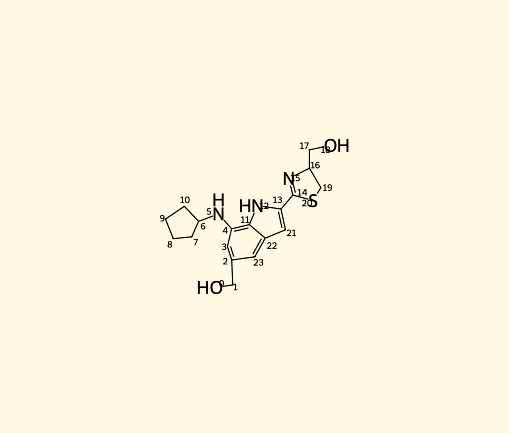 OCc1cc(NC2CCCC2)c2[nH]c(C3=NC(CO)CS3)cc2c1